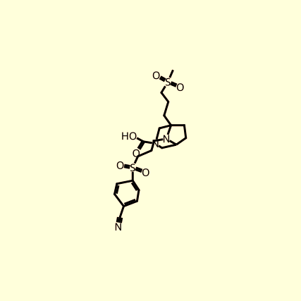 CS(=O)(=O)CCCC12CCC(CN(C(=O)O)C1)N2CCCS(=O)(=O)c1ccc(C#N)cc1